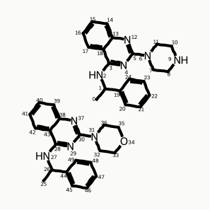 CC(Nc1nc(N2CCNCC2)nc2ccccc12)c1ccccc1.CC(Nc1nc(N2CCOCC2)nc2ccccc12)c1ccccc1